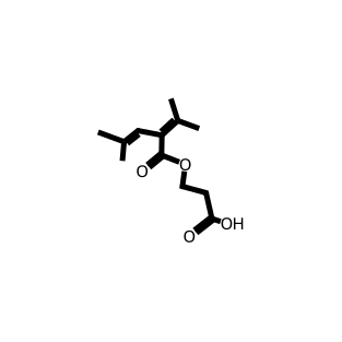 CC(C)=CC(C(=O)OCCC(=O)O)=C(C)C